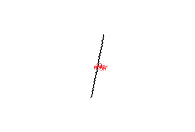 CCCCCCCCCCCCCCCCCCCCOCCCCCCCCCCCCCCCCCCCC.O=P(O)(O)O